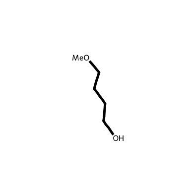 [CH2]OCCCCO